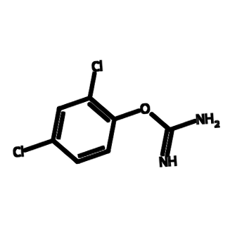 N=C(N)Oc1ccc(Cl)cc1Cl